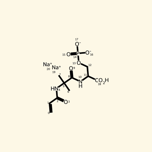 C=CC(=O)NC(C)(C)C(=O)NC(COP(=O)([O-])[O-])C(=O)O.[Na+].[Na+]